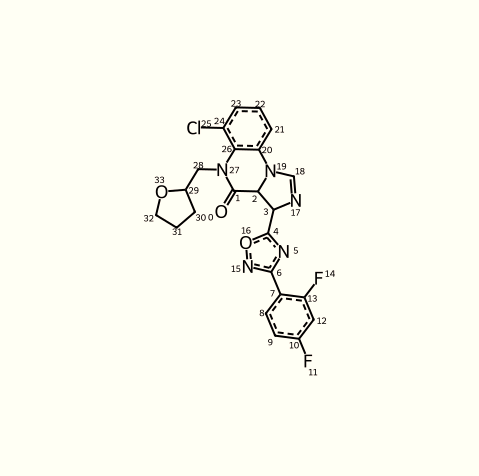 O=C1C2C(c3nc(-c4ccc(F)cc4F)no3)N=CN2c2cccc(Cl)c2N1CC1CCCO1